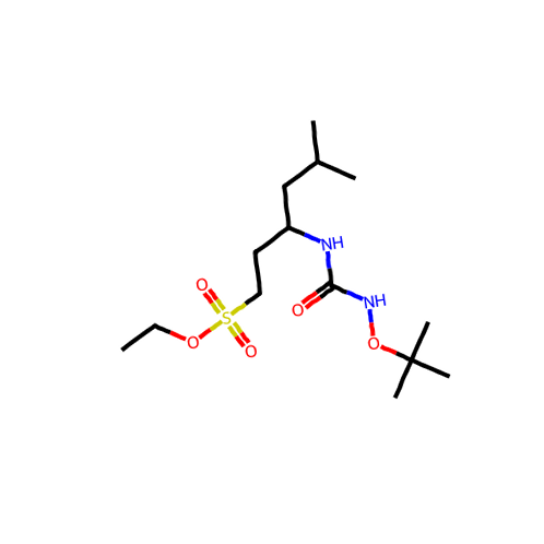 CCOS(=O)(=O)CCC(CC(C)C)NC(=O)NOC(C)(C)C